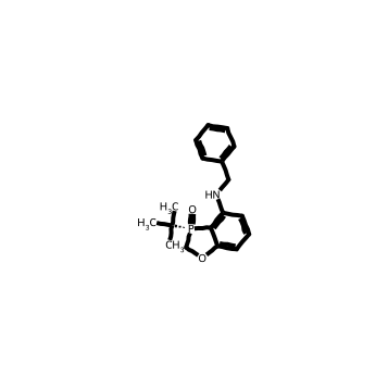 CC(C)(C)[P@@]1(=O)COc2cccc(NCc3ccccc3)c21